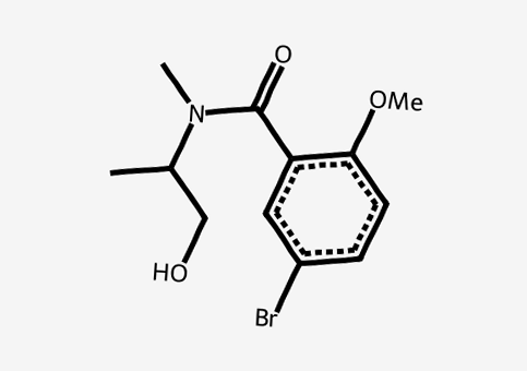 COc1ccc(Br)cc1C(=O)N(C)C(C)CO